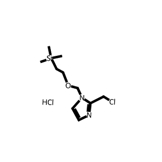 C[Si](C)(C)CCOCn1ccnc1CCl.Cl